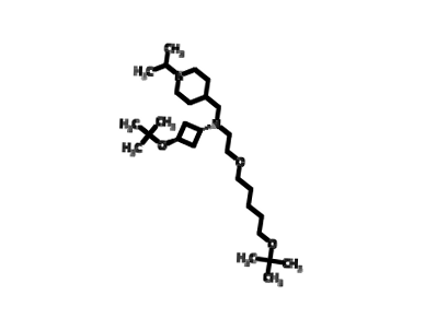 CC(C)N1CCC(CN(CCOCCCCCOC(C)(C)C)[C@H]2C[C@H](OC(C)(C)C)C2)CC1